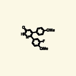 COc1ccc(-c2cc(=O)[nH]nc2-c2ccc(OC)c(F)c2)cc1